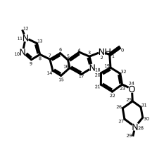 C=C(Nc1cc2cc(-c3cnn(C)c3)ccc2cn1)c1cccc(OC2CCN(C)CC2)c1